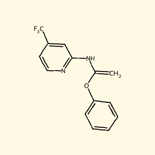 C=C(Nc1cc(C(F)(F)F)ccn1)Oc1ccccc1